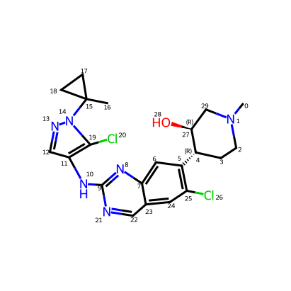 CN1CC[C@H](c2cc3nc(Nc4cnn(C5(C)CC5)c4Cl)ncc3cc2Cl)[C@@H](O)C1